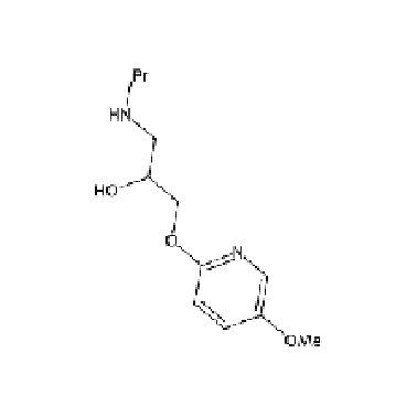 COc1ccc(OCC(O)CNC(C)C)nc1